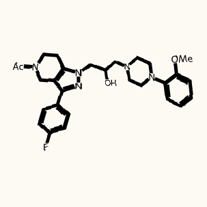 COc1ccccc1N1CCN(CC(O)Cn2nc(-c3ccc(F)cc3)c3c2CCN(C(C)=O)C3)CC1